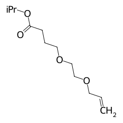 C=CCOCCOCCCC(=O)OC(C)C